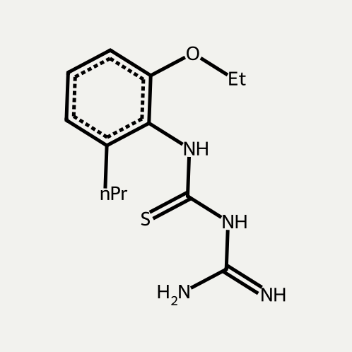 CCCc1cccc(OCC)c1NC(=S)NC(=N)N